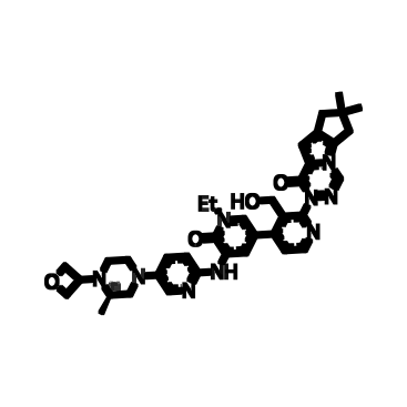 CCn1cc(-c2ccnc(-n3ncn4c5c(cc4c3=O)CC(C)(C)C5)c2CO)cc(Nc2ccc(N3CCN(C4COC4)[C@H](C)C3)cn2)c1=O